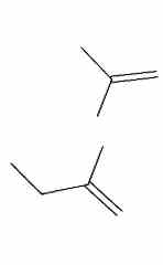 C=C(C)C.C=C(C)CC